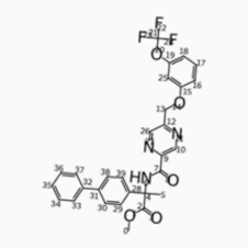 COC(=O)C(C)(NC(=O)c1cnc(COc2cccc(OC(F)(F)F)c2)cn1)c1ccc(-c2ccccc2)cc1